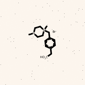 CN1CC[N+](C)(Cc2ccc(CC(=O)O)cc2)CC1.[Br-]